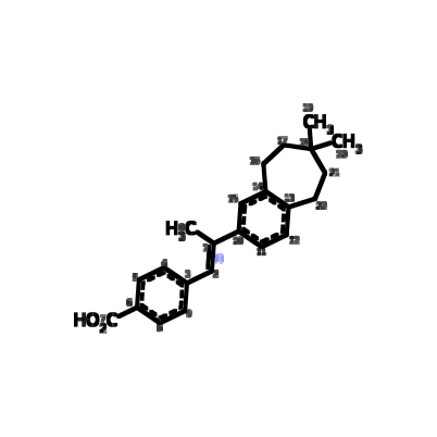 C/C(=C\c1ccc(C(=O)O)cc1)c1ccc2c(c1)CCC(C)(C)CC2